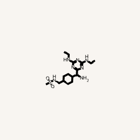 CCNc1nc(NCC)nc(C(N)C2CCC(CNS(C)(=O)=O)CC2)n1